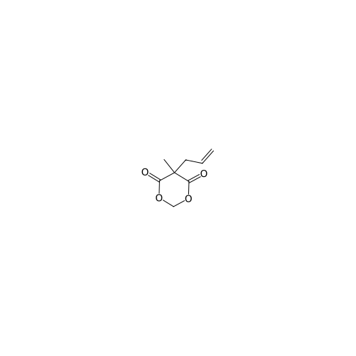 C=CCC1(C)C(=O)OCOC1=O